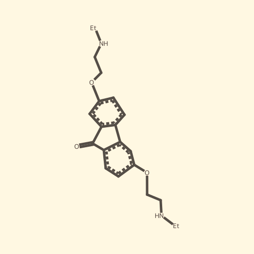 CCNCCOc1ccc2c(c1)C(=O)c1ccc(OCCNCC)cc1-2